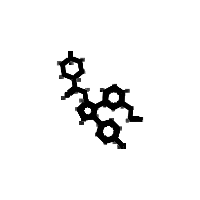 CC(=O)NCc1cc(-c2c(-c3ccc(Cl)cc3)ncn2CC(=O)N2CCNCC2)ccn1